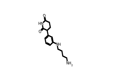 NCCCCNc1cccc(C2CCC(=O)NC2=O)c1